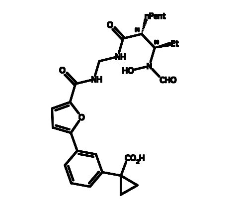 CCCCC[C@@H](C(=O)NCNC(=O)c1ccc(-c2cccc(C3(C(=O)O)CC3)c2)o1)[C@@H](CC)N(O)C=O